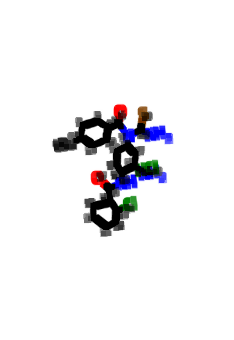 CC(C)(C)c1ccc(C(=O)N(C(N)=S)c2ccc(NC(=O)c3ccccc3Cl)c(N)c2)cc1.Cl